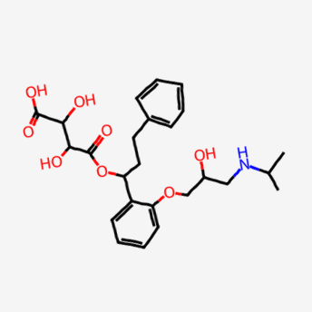 CC(C)NCC(O)COc1ccccc1C(CCc1ccccc1)OC(=O)C(O)C(O)C(=O)O